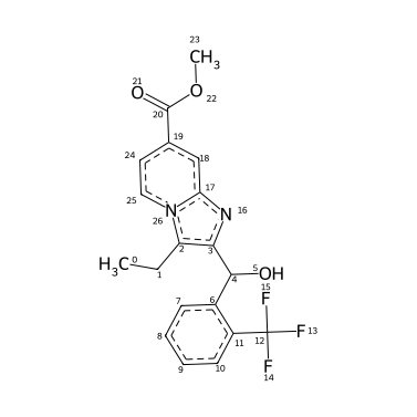 CCc1c(C(O)c2ccccc2C(F)(F)F)nc2cc(C(=O)OC)ccn12